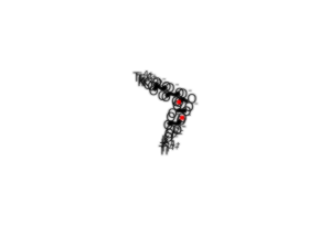 O=C([O-])C(=O)[O-].O=C([O-])C(=O)[O-].O=C([O-])C(=O)[O-].O=C([O-])C(=O)[O-].O=C([O-])C(=O)[O-].[K+].[K+].[K+].[K+].[O-2].[O-2].[O-2].[O-2].[O-2].[Ti+4].[Ti+4].[Ti+4].[Ti+4]